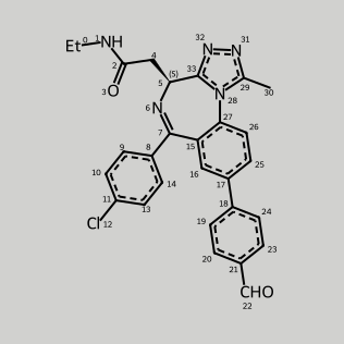 CCNC(=O)C[C@@H]1N=C(c2ccc(Cl)cc2)c2cc(-c3ccc(C=O)cc3)ccc2-n2c(C)nnc21